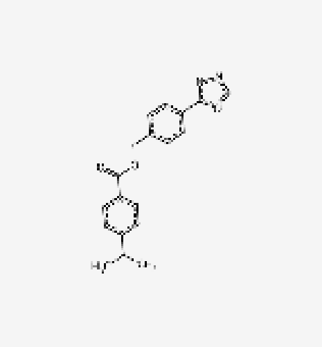 CC(C)c1ccc(C(=O)OCc2ccc(-c3nnco3)cc2)cc1